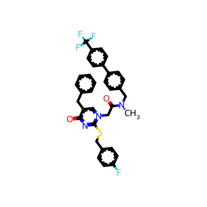 CN(Cc1ccc(-c2ccc(C(F)(F)F)cc2)cc1)C(=O)Cn1cc(Cc2ccccc2)c(=O)nc1SCc1ccc(F)cc1